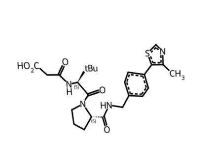 Cc1ncsc1-c1ccc(CNC(=O)[C@@H]2CCCN2C(=O)[C@@H](NC(=O)CC(=O)O)C(C)(C)C)cc1